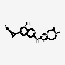 CN1CCc2cc(Nc3cc4cc(C5CC5C#N)cc(N)c4cn3)nn2CC1=O